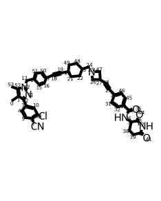 Cc1c(-c2ccc(C#N)c(Cl)c2)nn(Cc2ccc(C#CC3CCC(CN4CC(C#Cc5ccc(C(=O)NC6CCC(=O)NC6=O)cc5)C4)CC3)cc2)c1C